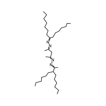 CCCCCCCC(CCCCCCC)=N/N=C(\C)C/C(C)=N/N=C(\C)C(CCCCCC)CCCCCC